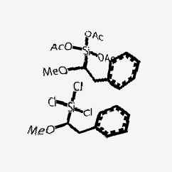 COC(Cc1ccccc1)[Si](Cl)(Cl)Cl.COC(Cc1ccccc1)[Si](OC(C)=O)(OC(C)=O)OC(C)=O